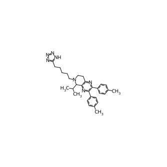 Cc1ccc(-c2nc3c(nc2-c2ccc(C)cc2)C(C(C)C)N(CCCCCc2nnn[nH]2)CC3)cc1